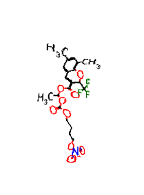 Cc1cc(C)c2c(c1)C=C(C(=O)OC(C)OC(=O)OCCCCO[N+](=O)[O-])C(C(F)(F)F)O2